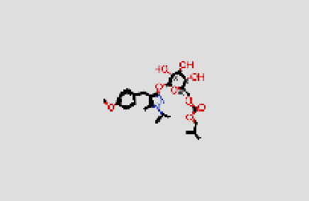 COc1ccc(Cc2c(O[C@@H]3O[C@H](COC(=O)OCC(C)C)[C@@H](O)[C@H](O)[C@H]3O)nn(C(C)C)c2C)cc1